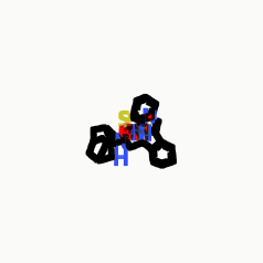 OC(CC1c2ccccc2-c2cncn21)C12CC3CC(C1)C(Nc1nc4ccccc4s1)C(C3)C2